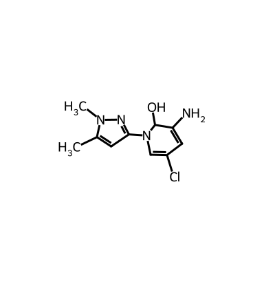 Cc1cc(N2C=C(Cl)C=C(N)C2O)nn1C